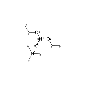 CCO[N+](=O)OCC.CN(C)C